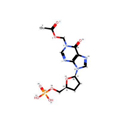 CC(C)(C)C(=O)OCn1cnc2c(ncn2[C@H]2CC[C@@H](COP(=O)(O)O)O2)c1=O